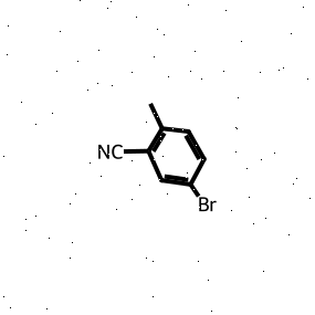 Cc1ccc(Br)cc1C#N